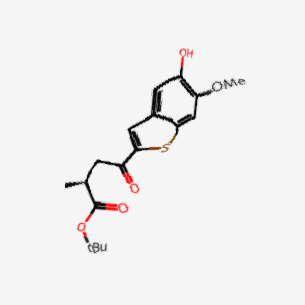 COc1cc2sc(C(=O)C[C@H](C)C(=O)OC(C)(C)C)cc2cc1O